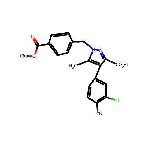 CCOC(=O)c1nn(Cc2ccc(C(=O)OC(C)(C)C)cc2)c(C)c1-c1ccc(C#N)c(Cl)c1